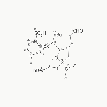 CCCCCCCCCCCCC(CCCCC=O)(OCC(CCCC)CCCCCC)N(C)C.Cc1ccc(S(=O)(=O)O)cc1